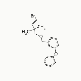 CC(C)(C=CBr)COCc1cccc(Oc2ccccc2)c1